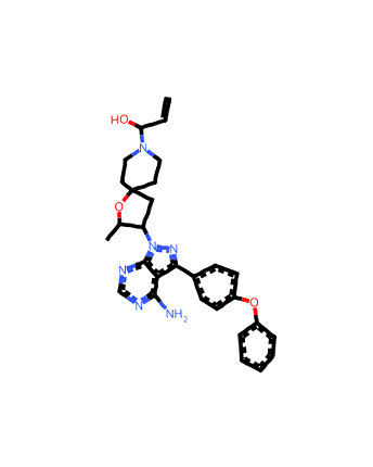 C=CC(O)N1CCC2(CC1)CC(n1nc(-c3ccc(Oc4ccccc4)cc3)c3c(N)ncnc31)C(C)O2